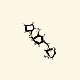 Brc1cc(C[C@@H]2CNCCO2)ccc1OC1CCCC1